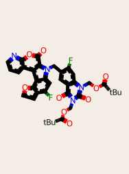 CC(C)(C)C(=O)OCn1c(=O)c2cc(Cn3c4cc(F)c5ccoc5c4c4c5cccnc5oc(=O)c43)c(F)cc2n(COC(=O)C(C)(C)C)c1=O